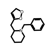 C1=C(CC2CCCCN2Cc2ccccc2)OOC1